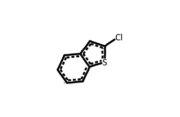 Clc1cc2cc[c]cc2s1